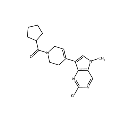 Cn1cc(C2=CCN(C(=O)C3CCCC3)CC2)c2nc(Cl)ncc21